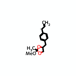 C=C[CH]c1ccc(CC2COC(C)(OC)O2)cc1